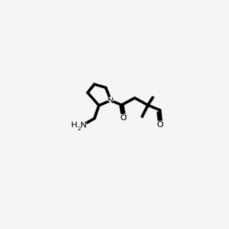 CC(C)(C=O)CC(=O)N1CCCC1CN